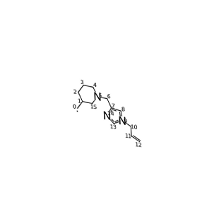 [CH2]C1CCCN(Cc2cn(CC=C)cn2)C1